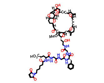 C=C1C[C@@H]2CC[C@]34CC(O)[C@H](O3)C3O[C@H]5CC[C@H](CC(=O)C[C@@H]6[C@@H](OC)[C@@H](C[C@H](O)CNC(=O)CNC(=O)[C@H](Cc7ccccc7)NC(=O)CNC(=O)CNC(=O)C(CCC(=O)O)NC(=O)CCCCCN7C(=O)C=CC7=O)O[C@H]6C[C@H]6O[C@H](CCC6=C)CC[C@@H]1O2)O[C@@H]5[C@H](O4)C3C